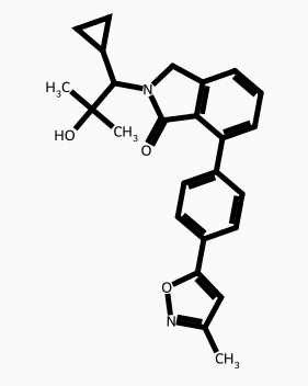 Cc1cc(-c2ccc(-c3cccc4c3C(=O)N(C(C3CC3)C(C)(C)O)C4)cc2)on1